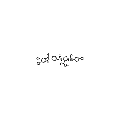 O=C(Nc1ccc(Cl)cc1)c1ccc(NC(=O)c2ccc(-c3nc4cc(Cl)c(Cl)cc4[nH]3)cc2)c(C(=O)O)c1